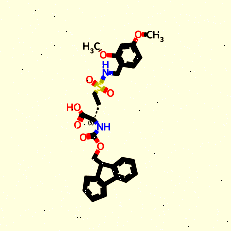 COc1ccc(CNS(=O)(=O)CC[C@H](NC(=O)OCC2c3ccccc3-c3ccccc32)C(=O)O)c(OC)c1